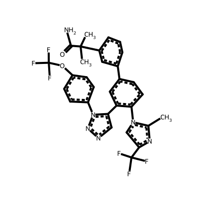 Cc1nc(C(F)(F)F)cn1-c1ccc(-c2cccc(C(C)(C)C(N)=O)c2)cc1-c1cnnn1-c1ccc(OC(F)(F)F)cc1